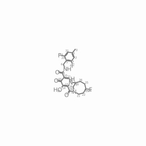 Cc1cc(F)c(CNC(=O)c2cn3c(c(O)c2=O)C(=O)N2CC[C@H](F)CC[C@H]3C2)c(F)c1